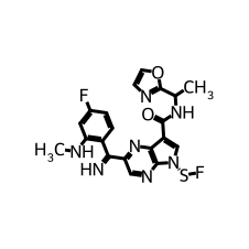 CNc1cc(F)ccc1C(=N)c1cnc2c(n1)c(C(=O)NC(C)c1ncco1)cn2SF